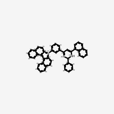 C1=C(c2cccc3ccccc23)NC(c2ccccc2)N=C1c1cccc(-n2c3ccc4ccccc4c3c3c4ccccc4ccc32)c1